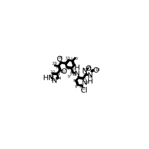 Cc1cc([C@@H](C)Nc2ccc(Cl)nc2-c2noc(=O)[nH]2)c2oc(-c3cn[nH]c3)c(C)c(=O)c2c1